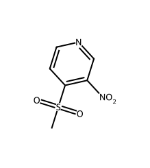 CS(=O)(=O)c1ccncc1[N+](=O)[O-]